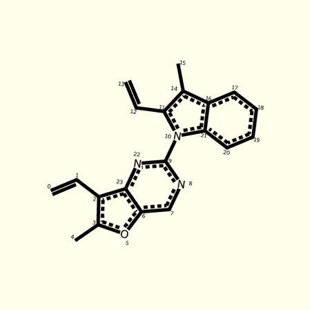 C=Cc1c(C)oc2cnc(-n3c(C=C)c(C)c4ccccc43)nc12